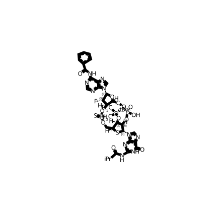 CC(C)C(=O)Nc1nc2c(ncn2[C@@H]2S[C@@H]3CO[PH](=S)O[C@H]4[C@H](F)[C@H](n5cnc6c(NC(=O)c7ccccc7)ncnc65)O[C@@H]4COP(=O)(O)O[C@@H]2[C@@H]3O[Si](C)(C)C(C)(C)C)c(=O)[nH]1